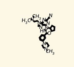 CN(C)CCn1cnc2c(N(NC(=O)c3cccc(N4CCN(C)CC4)c3)C3CCCC3)nc(C#N)nc21